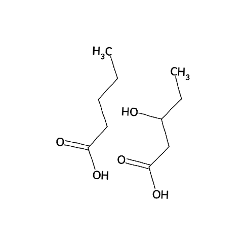 CCC(O)CC(=O)O.CCCCC(=O)O